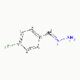 NN=[14CH]c1ccc(F)cc1